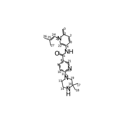 C=C1C=CC(NC(=O)c2ccc(N3CCNC(C)(C)C3)nc2)=CN1C=C(C)C